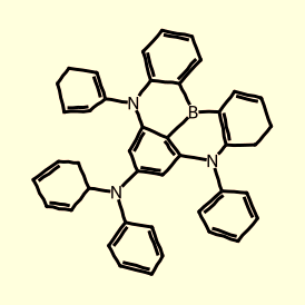 C1=CCC(N(c2ccccc2)c2cc3c4c(c2)N(C2=CCCC=C2)c2ccccc2B4C2=C(CCC=C2)N3c2ccccc2)C=C1